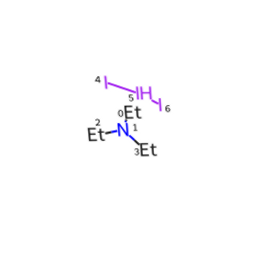 CCN(CC)CC.I[IH]I